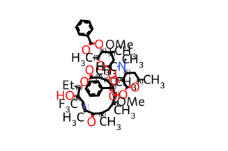 CC[C@H]1OC(=O)[C@H](C)[C@@H](OC2C[C@@](C)(OC)[C@@H](OC(=O)c3ccccc3)[C@H](C)O2)[C@H](C)[C@@H](OC2O[C@H](C)C[C@H](N(C)C)[C@H]2OC(=O)c2ccccc2)[C@@](C)(OC)C[C@@H](C)C(=O)/C(C)=C/[C@@]1(O)C(F)(F)F